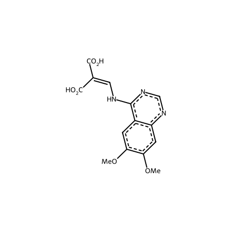 COc1cc2ncnc(NC=C(C(=O)O)C(=O)O)c2cc1OC